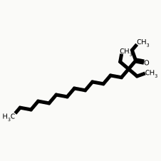 CCCCCCCCCCCCCC(CC)(CC)C(=O)CC